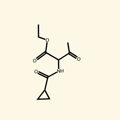 CCOC(=O)C(NC(=O)C1CC1)C(C)=O